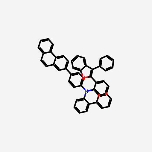 c1ccc(-c2ccccc2N(c2ccc(-c3ccc4c(ccc5ccccc54)c3)cc2)c2ccccc2-c2oc3ccccc3c2-c2ccccc2)cc1